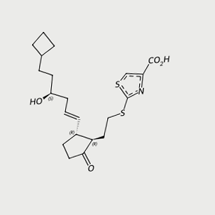 O=C(O)c1csc(SCC[C@H]2C(=O)CC[C@@H]2C=CC[C@@H](O)CCC2CCC2)n1